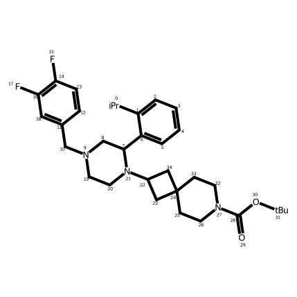 CC(C)c1ccccc1C1CN(Cc2ccc(F)c(F)c2)CCN1C1CC2(CCN(C(=O)OC(C)(C)C)CC2)C1